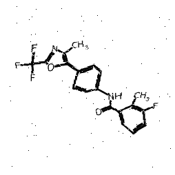 Cc1nc(C(F)(F)F)oc1-c1ccc(NC(=O)c2cccc(F)c2C)cc1